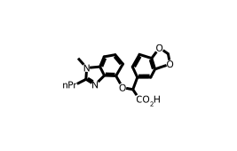 CCCc1nc2c(OC(C(=O)O)c3ccc4c(c3)OCO4)cccc2n1C